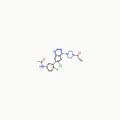 C=CC(=O)N1CCN(c2ncnc3cc(-c4cc(NC(C)=O)ccc4F)c(Cl)cc23)CC1